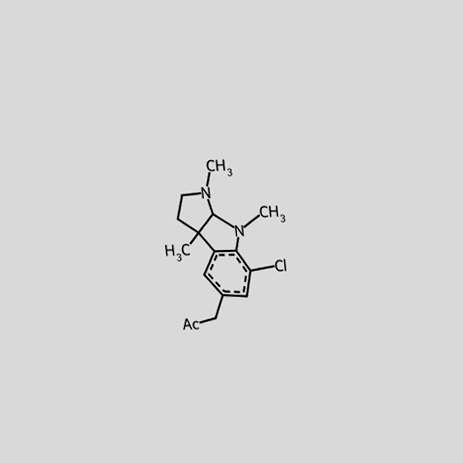 CC(=O)Cc1cc(Cl)c2c(c1)C1(C)CCN(C)C1N2C